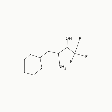 NC(CC1CCCCC1)C(O)C(F)(F)F